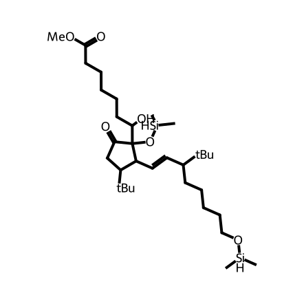 COC(=O)CCCCCC(O)C1(O[SiH](C)C)C(=O)CC(C(C)(C)C)C1C=CC(CCCCCO[SiH](C)C)C(C)(C)C